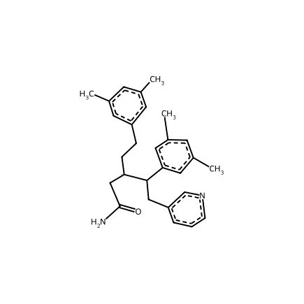 Cc1cc(C)cc(CC[C](CC(N)=O)C(Cc2cccnc2)c2cc(C)cc(C)c2)c1